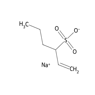 C=CC(CCC)S(=O)(=O)[O-].[Na+]